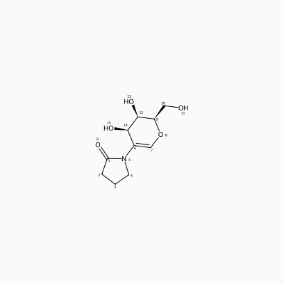 O=C1CCCN1C1=CO[C@H](CO)[C@H](O)[C@@H]1O